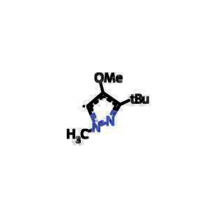 COc1[c]n(C)nc1C(C)(C)C